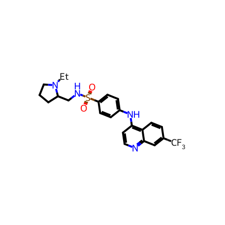 CCN1CCCC1CNS(=O)(=O)c1ccc(Nc2ccnc3cc(C(F)(F)F)ccc23)cc1